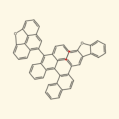 c1ccc2c(-c3c4ccccc4c(-c4cc5cccc6oc7cccc4c7c56)c4ccccc34)c(-c3ccc4oc5ccccc5c4c3)ccc2c1